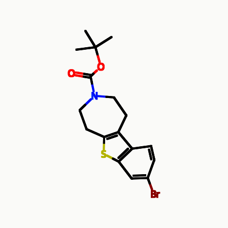 CC(C)(C)OC(=O)N1CCc2sc3cc(Br)ccc3c2CC1